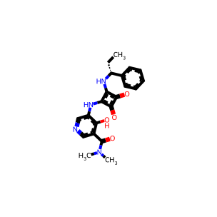 CC[C@@H](Nc1c(Nc2cncc(C(=O)N(C)C)c2O)c(=O)c1=O)c1ccccc1